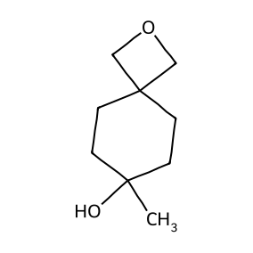 CC1(O)CCC2(CC1)COC2